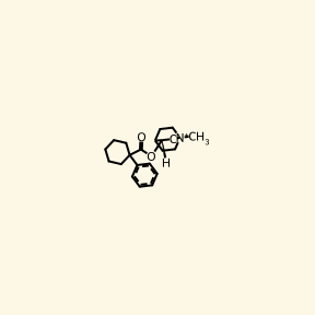 C[N+]12CCC(CC1)[C@@H](OC(=O)C1(c3ccccc3)CCCCC1)C2